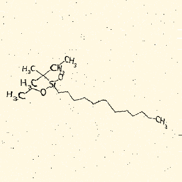 CCCCCCCCCCCC[Si](OCC)(OCC)C(C)(C)C